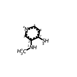 CNc1cnccc1S